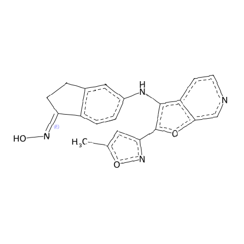 Cc1cc(-c2oc3cnccc3c2Nc2ccc3c(c2)CC/C3=N\O)no1